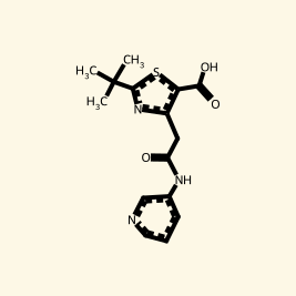 CC(C)(C)c1nc(CC(=O)Nc2cccnc2)c(C(=O)O)s1